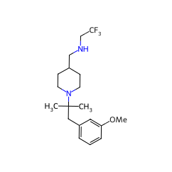 COc1cccc(CC(C)(C)N2CCC(CNCC(F)(F)F)CC2)c1